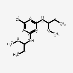 CCC(Nc1nc(Cl)nc(NC(CC)OC)n1)OC